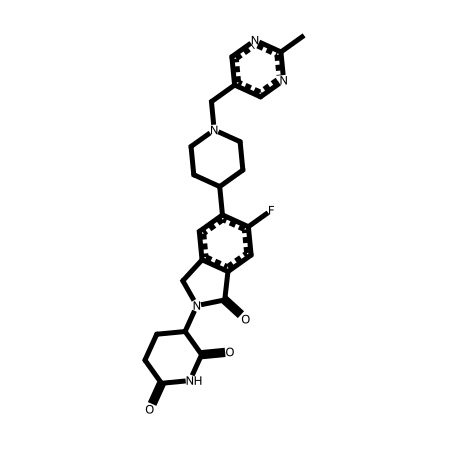 Cc1ncc(CN2CCC(c3cc4c(cc3F)C(=O)N(C3CCC(=O)NC3=O)C4)CC2)cn1